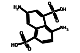 Nc1cc(S(=O)(=O)O)c2c(N)ccc(S(=O)(=O)O)c2c1